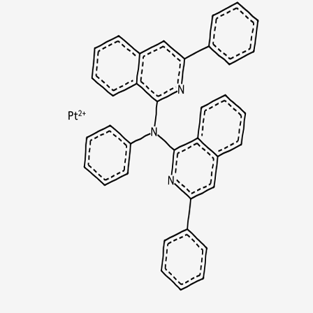 [Pt+2].c1ccc(-c2cc3ccccc3c(N(c3ccccc3)c3nc(-c4ccccc4)cc4ccccc34)n2)cc1